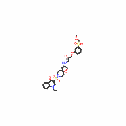 CCn1cc(S(=O)(=O)N2CCC3(CC2)C[C@@H](NC[C@H](O)COc2cccc(S(=O)(=O)COC)c2)CO3)c(=O)c2ccccc21